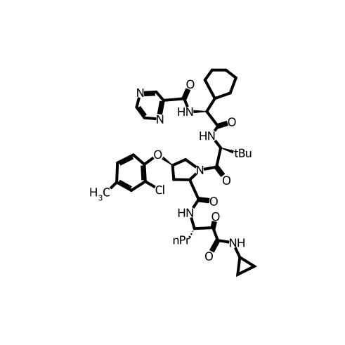 CCC[C@H](NC(=O)C1C[C@@H](Oc2ccc(C)cc2Cl)CN1C(=O)[C@@H](NC(=O)[C@@H](NC(=O)c1cnccn1)C1CCCCC1)C(C)(C)C)C(=O)C(=O)NC1CC1